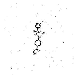 CC(C)(C)OC(=O)N1CCC([C@@H](CO)NS(=O)(=O)c2ccc(Cl)s2)CC1